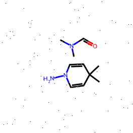 CC1(C)C=CN(N)C=C1.CN(C)C=O